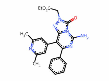 CCOC(=O)Cn1nc2c(-c3cc(C)nc(C)c3)c(-c3ccccc3)nc(N)n2c1=O